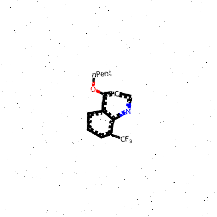 CCCCCOc1ccnc2c(C(F)(F)F)cccc12